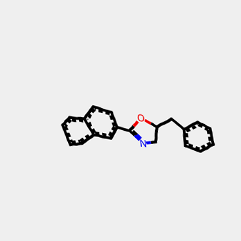 c1ccc(CC2CN=C(c3ccc4ccccc4c3)O2)cc1